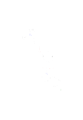 CN(C)CCCOc1cccc(S(=O)(=O)n2ccc3cc(F)ccc32)c1